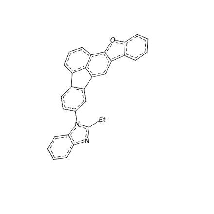 CCc1nc2ccccc2n1-c1ccc2c(c1)-c1cc3c4ccccc4oc3c3cccc-2c13